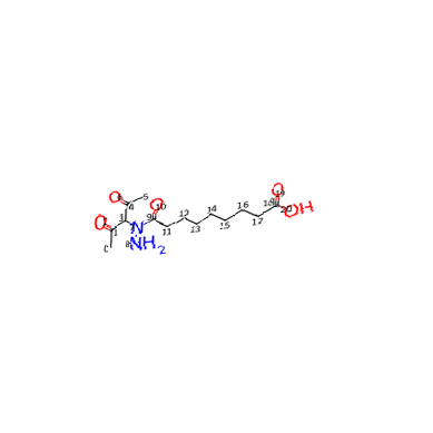 CC(=O)C(C(C)=O)N(N)C(=O)CCCCCCCC(=O)O